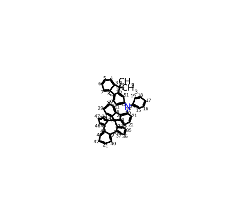 CC1(C)c2ccccc2-c2ccc(N(c3ccccc3)c3cccc4c3-c3ccccc3C43c4ccccc4-c4ccccc4-c4ccccc43)cc21